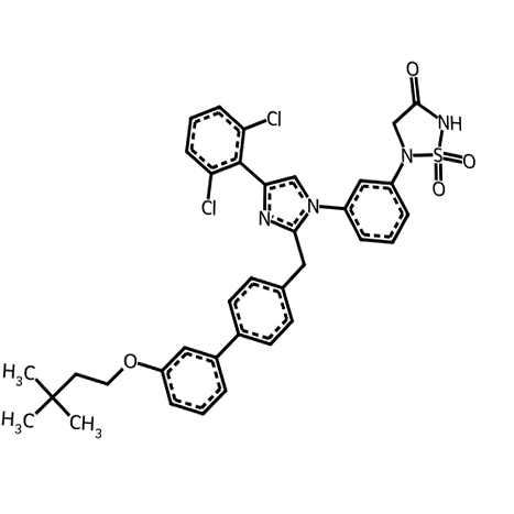 CC(C)(C)CCOc1cccc(-c2ccc(Cc3nc(-c4c(Cl)cccc4Cl)cn3-c3cccc(N4CC(=O)NS4(=O)=O)c3)cc2)c1